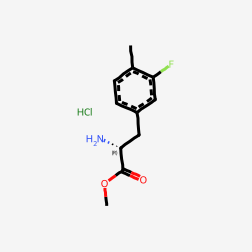 COC(=O)[C@H](N)Cc1ccc(C)c(F)c1.Cl